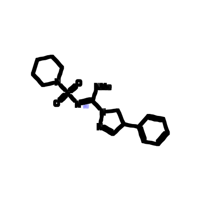 CN/C(=N\S(=O)(=O)N1CCCCC1)N1CC(c2ccccc2)C=N1